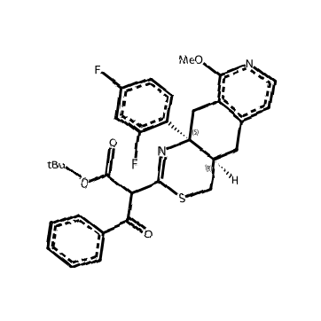 COc1nccc2c1C[C@]1(c3ccc(F)cc3F)N=C(C(C(=O)OC(C)(C)C)C(=O)c3ccccc3)SC[C@@H]1C2